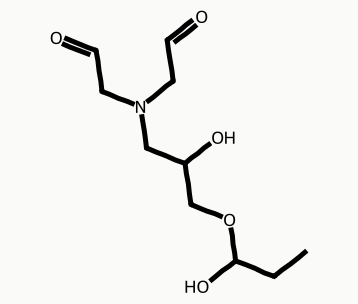 CCC(O)OCC(O)CN(CC=O)CC=O